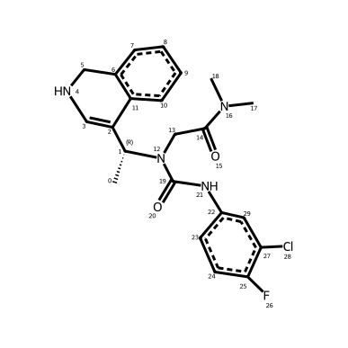 C[C@H](C1=CNCc2ccccc21)N(CC(=O)N(C)C)C(=O)Nc1ccc(F)c(Cl)c1